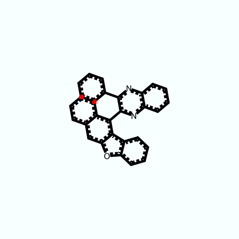 c1ccc(-c2nc3ccccc3nc2-c2c3ccccc3cc3oc4ccccc4c23)cc1